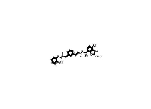 O=CC1Nc2c(O)ccc([C@@H](O)CNCCc3cccc(CNCCc4ccccc4O)c3)c2S1